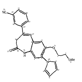 COCCOc1cc2c(cc1-n1cccc1)NC(=O)CC(c1cccc(C#N)c1)=N2